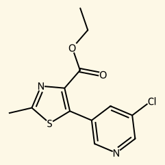 CCOC(=O)c1nc(C)sc1-c1cncc(Cl)c1